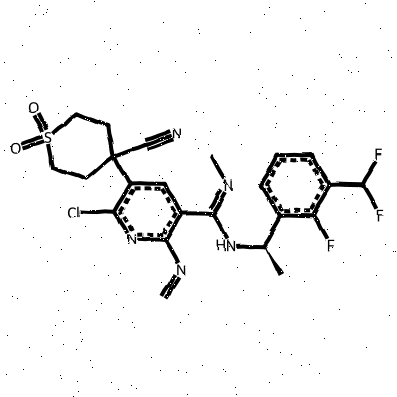 C=Nc1nc(Cl)c(C2(C#N)CCS(=O)(=O)CC2)cc1/C(=N\C)N[C@H](C)c1cccc(C(F)F)c1F